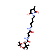 CC1CC(=O)N(CCCCCNC(=O)/C=C/NC(=O)[C@@H]2OC(C)(C)OCC2(C)C)C1=O